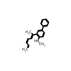 C=C/C=C\C=C(/C)c1cc(-c2ccccc2)ccc1NC